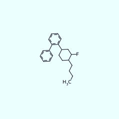 CCCCC1CCC(c2ccccc2-c2ccccc2)CC1F